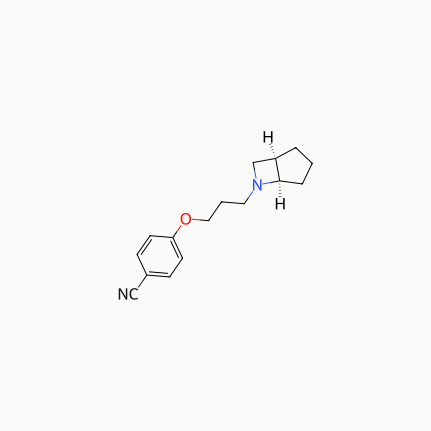 N#Cc1ccc(OCCCN2C[C@H]3CCC[C@H]32)cc1